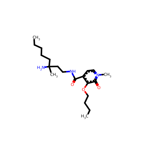 CCCCCC(C)(N)CCNC(=O)c1ccn(C)c(=O)c1OCCCC